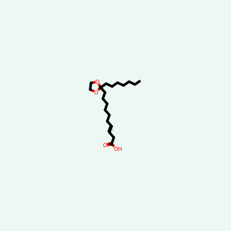 CCCCCCCC1(CCCCCC/C=C/CC(=O)O)OCCO1